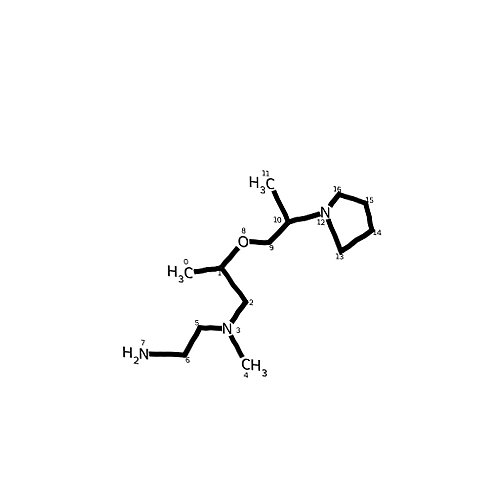 CC(CN(C)CCN)OCC(C)N1CCCC1